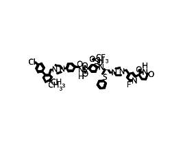 CC1(C)CCC(c2ccc(Cl)cc2)=C(CN2CCN(c3ccc(C(=O)NS(=O)(=O)c4ccc(N[C@H](CCN5CCN(Cc6cc(F)nc(C7CCC(=O)NC7=O)c6)CC5)CSc5ccccc5)c(S(=O)(=O)C(F)(F)F)c4)cc3)CC2)C1